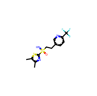 Cc1nc(S(=N)(=O)CCc2ccc(C(F)(F)F)nc2)sc1C